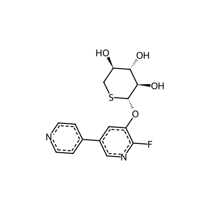 O[C@@H]1[C@@H](O)[C@H](Oc2cc(-c3ccncc3)cnc2F)SC[C@H]1O